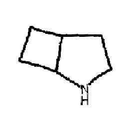 C1CC2CCC2N1